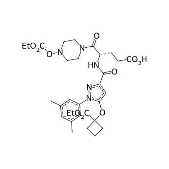 CCOC(=O)ON1CCN(C(=O)[C@H](CCC(=O)O)NC(=O)c2cc(OC3(C(=O)OCC)CCC3)n(-c3cc(C)cc(C)c3)n2)CC1